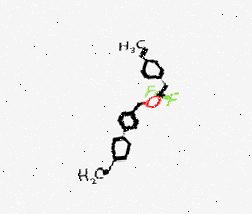 C=C[C@H]1CC[C@H](c2ccc(COC(F)(F)C[C@H]3CC[C@H](/C=C/C)CC3)cc2)CC1